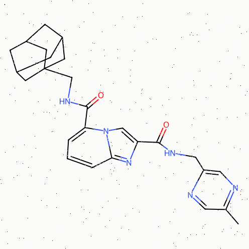 Cc1cnc(CNC(=O)c2cn3c(C(=O)NCC45CC6CC(CC(C6)C4)C5)cccc3n2)cn1